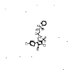 N#Cc1c(Cl)c(C(F)(F)F)n(COC(=O)CNS(=O)(=O)c2ccccc2)c1-c1ccc(Cl)cc1